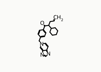 C=CCC(C(=O)c1ccc(Cn2ccc3ncnc-3c2)cc1)C1CCCCC1